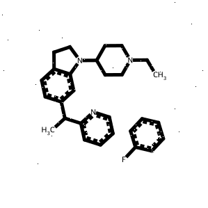 CCN1CCC(N2CCc3ccc(C(C)c4ccccn4)cc32)CC1.Fc1ccccc1